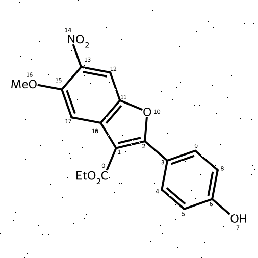 CCOC(=O)c1c(-c2ccc(O)cc2)oc2cc([N+](=O)[O-])c(OC)cc12